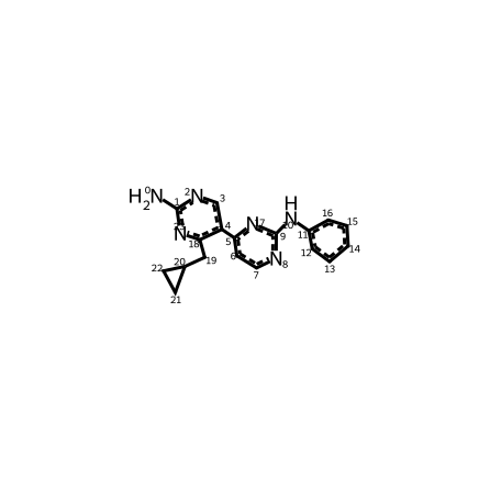 Nc1ncc(-c2ccnc(Nc3ccccc3)n2)c(CC2CC2)n1